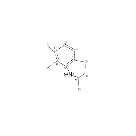 Cc1ccc2c(c1C)NC(C)CC2